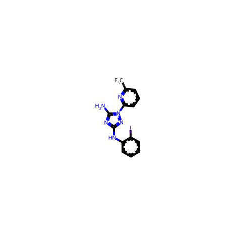 Nc1nc(Nc2ccccc2I)nn1-c1cccc(C(F)(F)F)n1